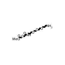 COC(=O)COCC(=O)NCCCOCCOCCOCCCN